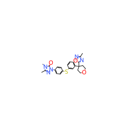 Cc1noc(C2(c3cccc(Sc4ccc(-n5nc(C)n(C)c5=O)cc4)c3)CCOCC2)n1